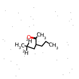 [2H]C([2H])(C)CC(CCC)C(C)=O